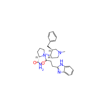 CN1CC[C@@H]([N+]2(C(=O)CCc3nc4ccccc4[nH]3)CCC[C@H]2C(N)=O)[C@@H](Cc2ccccc2)C1